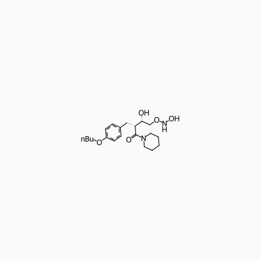 CCCCOc1ccc(C[C@@H](C(=O)N2CCCCC2)[C@H](O)CONO)cc1